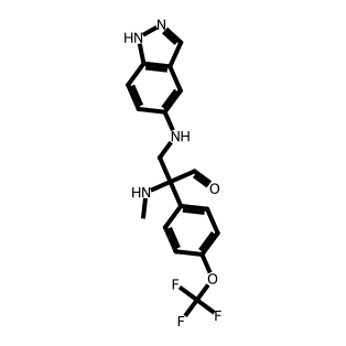 CNC(C=O)(CNc1ccc2[nH]ncc2c1)c1ccc(OC(F)(F)F)cc1